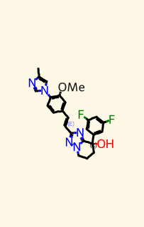 COc1cc(/C=C/c2nc3n(n2)CCC[C@@]3(O)c2cc(F)cc(F)c2)ccc1-n1cnc(C)c1